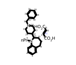 CCCN1c2ccccc2CCCC1C1CCN(Cc2ccccc2)CC1.O=C(O)/C=C/C(=O)O